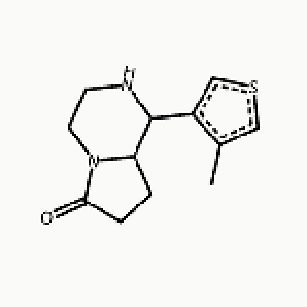 Cc1cscc1C1NCCN2C(=O)CCC12